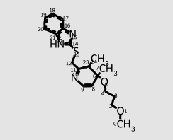 COCCCOC1(C)C=CN=C(CSc2nc3ccccc3[nH]2)C1C